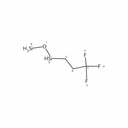 FC(F)(F)CC[SiH]O[SiH3]